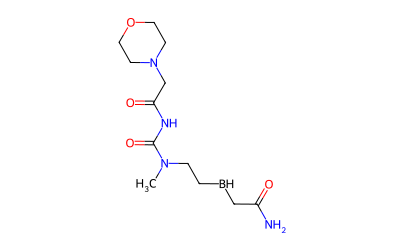 CN(CCBCC(N)=O)C(=O)NC(=O)CN1CCOCC1